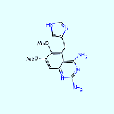 COc1cc2nc(N)nc(N)c2c(Cc2c[nH]cn2)c1OC